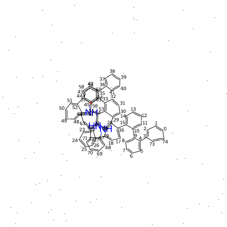 c1ccc(-c2ccccc2-c2ccccc2-c2ccc3c([nH]c4ccccc43)c2-c2cccc(-c3c(-c4ccccc4)ccc4c3[nH]c3ccccc34)c2-c2c(-c3ccccc3)ccc3c2[nH]c2ccccc23)cc1